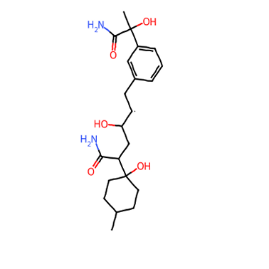 CC1CCC(O)(C(CC(O)[CH]Cc2cccc(C(C)(O)C(N)=O)c2)C(N)=O)CC1